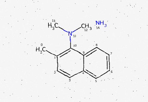 Cc1ccc2ccccc2c1N(C)C.N